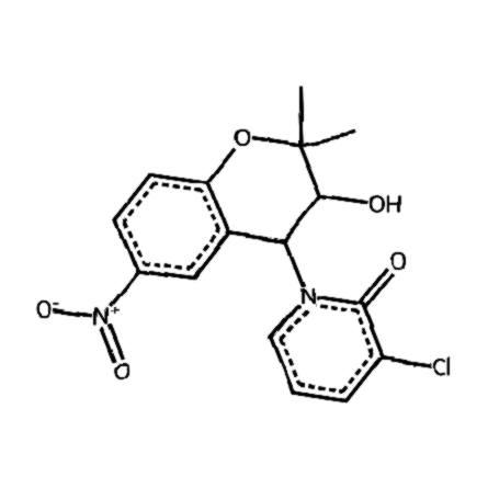 CC1(C)Oc2ccc([N+](=O)[O-])cc2C(n2cccc(Cl)c2=O)C1O